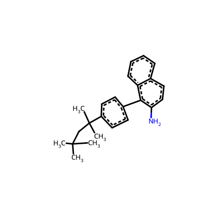 CC(C)(C)CC(C)(C)c1ccc(-c2c(N)ccc3ccccc23)cc1